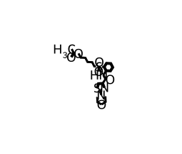 CC(=O)OCCCCCS(=O)(=O)c1ccccc1NC(=O)c1csc(N2CCOCC2)n1